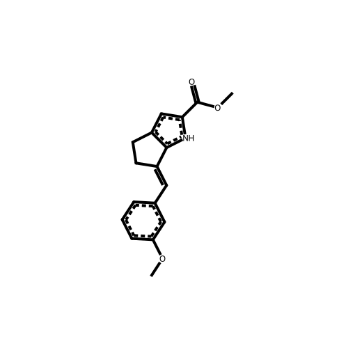 COC(=O)c1cc2c([nH]1)C(=Cc1cccc(OC)c1)CC2